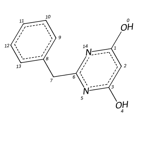 Oc1cc(O)nc(Cc2ccccc2)n1